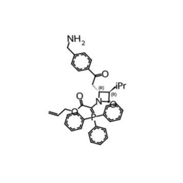 C=CCOC(=O)C(N1C(=O)[C@H](C(C)C)[C@H]1CC(=O)c1ccc(CN)cc1)=P(c1ccccc1)(c1ccccc1)c1ccccc1